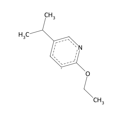 CCOc1[c]cc(C(C)C)cn1